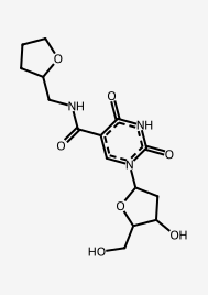 O=C(NCC1CCCO1)c1cn(C2CC(O)C(CO)O2)c(=O)[nH]c1=O